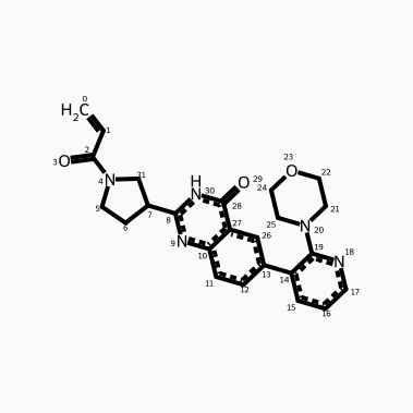 C=CC(=O)N1CCC(c2nc3ccc(-c4cccnc4N4CCOCC4)cc3c(=O)[nH]2)C1